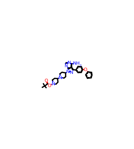 CC(C)(C)C(=O)ON1CCC(N2CCC(n3nc(-c4ccc(Oc5ccccc5)cc4)c4c(N)ncnc43)CC2)CC1